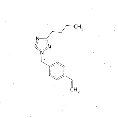 C=Cc1ccc(Cn2cnc(CCCC)n2)cc1